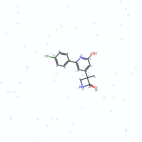 CC1(c2cc(O)nc(-c3ccc(F)cc3)c2)CNC1=O